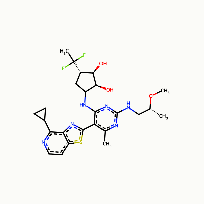 CO[C@H](C)CNc1nc(C)c(-c2nc3c(C4CC4)nccc3s2)c(NC2C[C@H](C(C)(F)F)[C@@H](O)[C@H]2O)n1